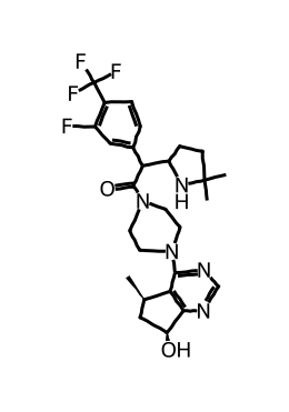 C[C@@H]1C[C@H](O)c2ncnc(N3CCN(C(=O)C(c4ccc(C(F)(F)F)c(F)c4)C4CCC(C)(C)N4)CC3)c21